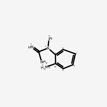 CC(C)N(C(=N)N)c1ccccc1N